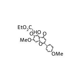 CCOC(=O)COc1c(OC)cc2oc(-c3ccc(OC)cc3)cc(=O)c2c1O